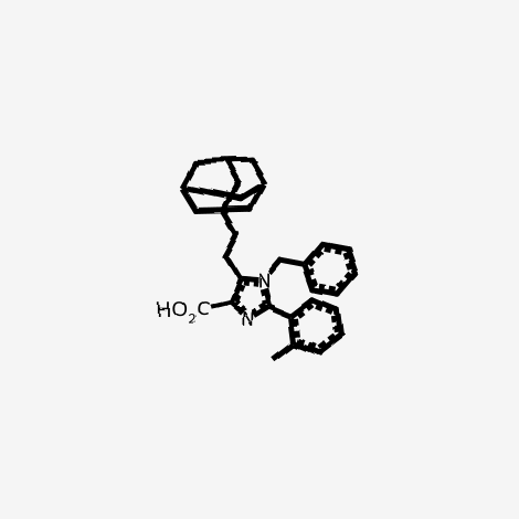 Cc1ccccc1-c1nc(C(=O)O)c(CCC23CC4CC(CC(C4)C2)C3)n1Cc1ccccc1